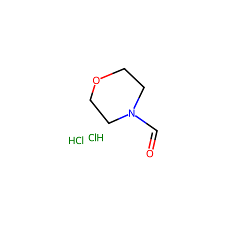 Cl.Cl.O=CN1CCOCC1